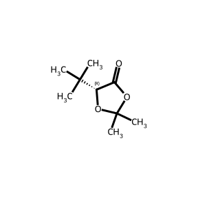 CC1(C)OC(=O)[C@@H](C(C)(C)C)O1